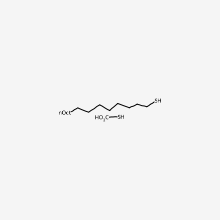 CCCCCCCCCCCCCCCCS.O=C(O)S